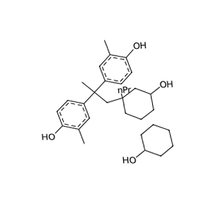 CCCC1(CC(C)(c2ccc(O)c(C)c2)c2ccc(O)c(C)c2)CCCC(O)C1.OC1CCCCC1